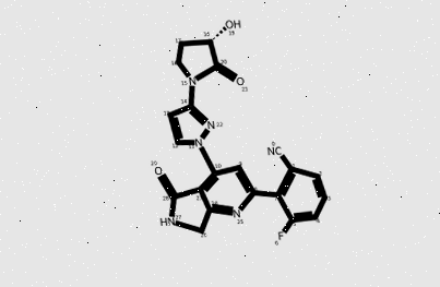 N#Cc1cccc(F)c1-c1cc(-n2ccc(N3CC[C@H](O)C3=O)n2)c2c(n1)CNC2=O